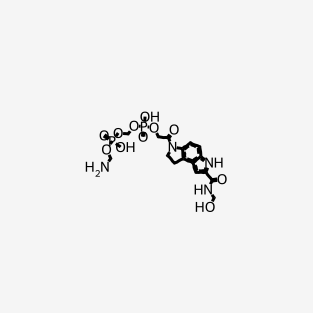 NCOP(=O)(O)OCOP(=O)(O)OCC(=O)N1CCc2c1ccc1[nH]c(C(=O)NCO)cc21